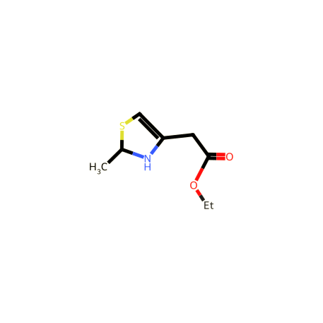 CCOC(=O)CC1=CSC(C)N1